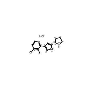 Cc1c(Cl)cccc1-c1cc([C@@H]2CCCN2)[nH]n1.Cl